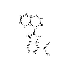 NC(=O)c1cccc2[nH]c(C3NCCc4ccccc43)nc12